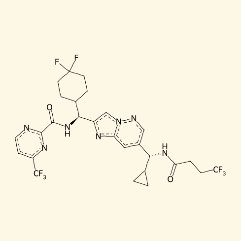 O=C(CCC(F)(F)F)N[C@@H](c1cnn2cc([C@@H](NC(=O)c3nccc(C(F)(F)F)n3)C3CCC(F)(F)CC3)nc2c1)C1CC1